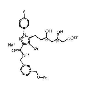 CCOCc1cccc(CNC(=O)c2nn(-c3ccc(F)cc3)c(CC[C@@H](O)C[C@@H](O)CC(=O)[O-])c2C(C)C)c1.[Na+]